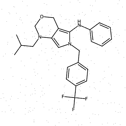 CC(C)CN1COCc2c1cn(Cc1ccc(C(F)(F)F)cc1)c2Nc1ccccc1